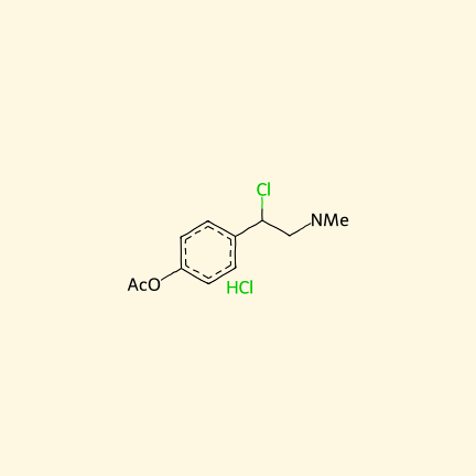 CNCC(Cl)c1ccc(OC(C)=O)cc1.Cl